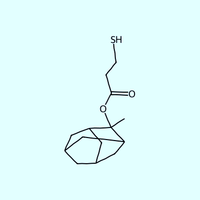 CC1(OC(=O)CCS)C2CC3CC(C2)CC1C3